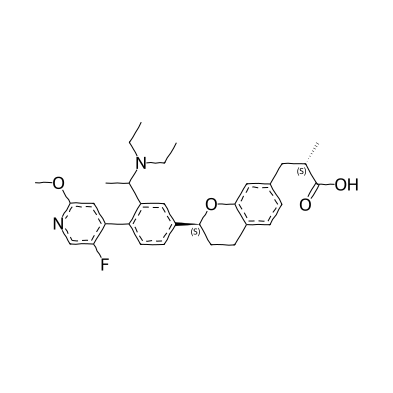 CCN(CC)C(C)c1cc([C@@H]2CCc3ccc(C[C@H](C)C(=O)O)cc3O2)ccc1-c1cc(OC)ncc1F